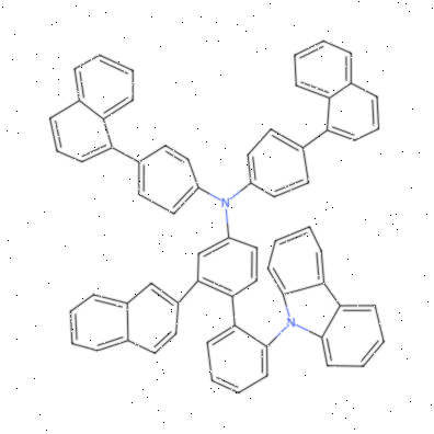 c1ccc(-n2c3ccccc3c3ccccc32)c(-c2ccc(N(c3ccc(-c4cccc5ccccc45)cc3)c3ccc(-c4cccc5ccccc45)cc3)cc2-c2ccc3ccccc3c2)c1